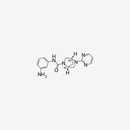 Nc1cccc(NC(=O)N2C[C@H]3C[C@@H]2CN3c2ncccn2)c1